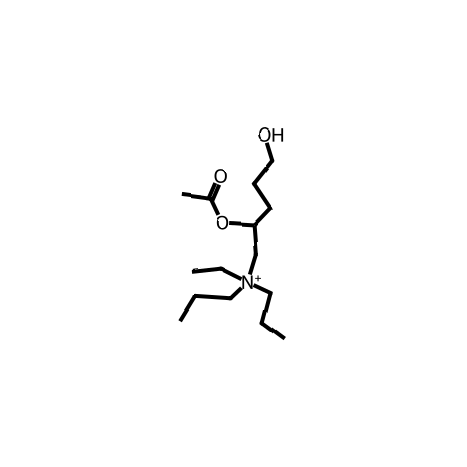 CCC[N+](CC)(CCC)CC(CCCO)OC(C)=O